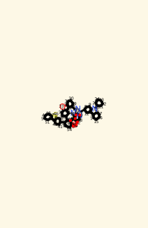 c1ccc(-c2nc(-c3ccc4c(c3)c3ccccc3n4-c3ccccc3)nc(-c3cccc4oc5ccc(-c6c(-c7ccc8c(c7)sc7ccccc78)ccc7oc8ccccc8c67)cc5c34)n2)cc1